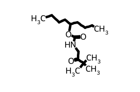 CCCCC(CCCC)OC(=O)NCC(=O)C(C)(C)C